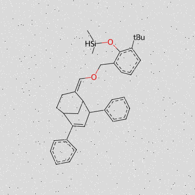 C[SiH](C)Oc1c(COC=C2CCC3CC2C(c2ccccc2)C=C3c2ccccc2)cccc1C(C)(C)C